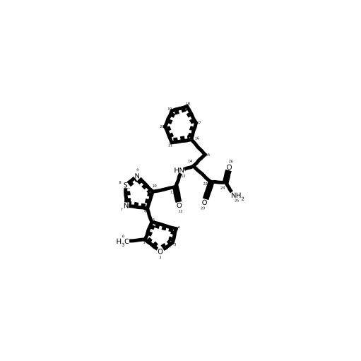 Cc1occc1-c1nsnc1C(=O)NC(Cc1ccccc1)C(=O)C(N)=O